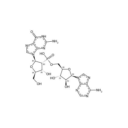 Nc1nc2c(ncn2[C@@H]2O[C@H](CO)[C@@H](O)[C@H]2P(=O)(O)OC[C@H]2O[C@@H](n3cnc4c(N)ncnc43)[C@@H](O)[C@@H]2O)c(=O)[nH]1